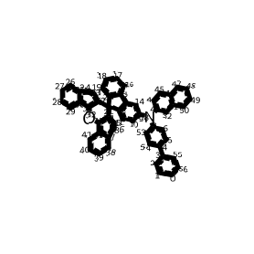 c1ccc(-c2ccc(N(c3ccc4c(c3)-c3ccccc3C43c4ccc5ccccc5c4Oc4c3ccc3ccccc43)c3ccc4ccccc4c3)cc2)cc1